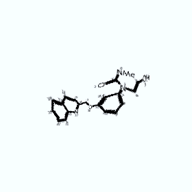 CNC(=O)N(CCO)c1cccc(OCc2ccc3ccccc3n2)c1